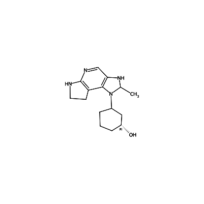 CC1Nc2cnc3c(c2N1C1CCC[C@@H](O)C1)CCN3